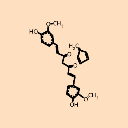 C=C1C=CC=C1.COc1cc(/C=C/C(=O)CC(=O)/C=C/c2ccc(O)c(OC)c2)ccc1O